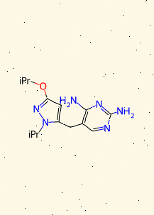 CC(C)Oc1cc(Cc2cnc(N)nc2N)n(C(C)C)n1